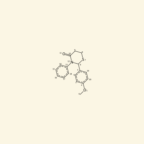 COc1ccc(C2SCCC(=O)N2c2ccccc2)cc1